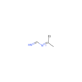 CC/C(C)=N\C=N